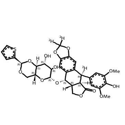 [2H]C1([2H])Oc2cc3c(cc2O1)[C@@]([2H])(c1cc(OC)c(O)c(OC)c1)[C@H]1C(=O)OC[C@@H]1[C@@H]3O[C@@H]1O[C@@H]2CO[C@@H](c3cccs3)O[C@H]2[C@H](O)[C@H]1O